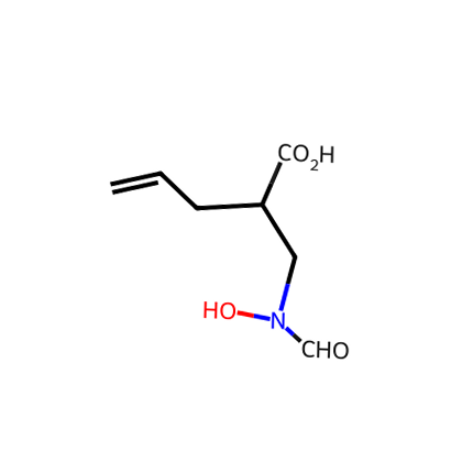 C=CCC(CN(O)C=O)C(=O)O